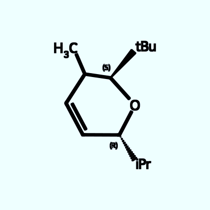 CC(C)[C@@H]1C=CC(C)[C@@H](C(C)(C)C)O1